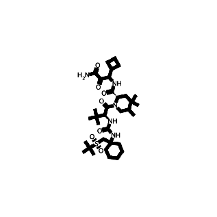 CC1CN(C(=O)[C@@H](NC(=O)NC2(CS(=O)(=O)C(C)(C)C)CCCCC2)C(C)(C)C)[C@H](C(=O)NC(C(=O)C(N)=O)C2CCC2)CC1(C)C